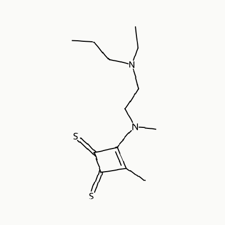 CCCN(CC)CCN(C)c1c(C)c(=S)c1=S